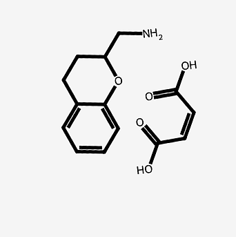 NCC1CCc2ccccc2O1.O=C(O)/C=C\C(=O)O